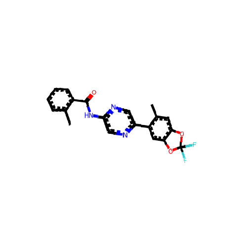 Cc1ccccc1C(=O)Nc1cnc(-c2cc3c(cc2C)OC(F)(F)O3)cn1